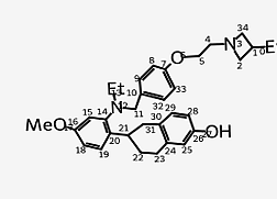 CCC1CN(CCOc2ccc(CN(CC)c3cc(OC)ccc3C3CCc4cc(O)ccc4C3)cc2)C1